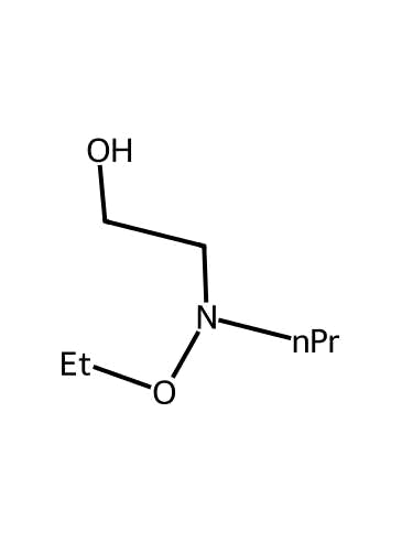 CCCN(CCO)OCC